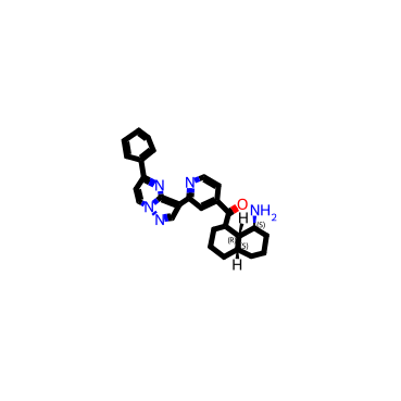 N[C@H]1CCC[C@@H]2CCCC(C(=O)c3ccnc(-c4cnn5ccc(-c6ccccc6)nc45)c3)[C@@H]21